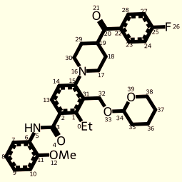 CCc1c(C(=O)Nc2ccccc2OC)ccc(N2CCC(C(=O)c3ccc(F)cc3)CC2)c1COC1CCCCO1